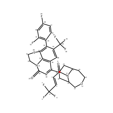 O=C(/C=C/C(F)(F)F)N1C2CCOCC1CN(c1nc(=O)n3c4c(c(-c5ccc(F)cc5F)c(C(F)(F)F)cc14)SCC3)C2